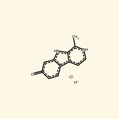 Cc1[nH]ccc2c1[nH]c1cc(=O)ccc12.[Cl-].[H+]